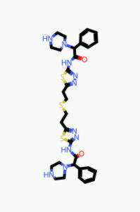 O=C(Nc1nnc(CCSCCc2nnc(NC(=O)C(c3ccccc3)N3CCNCC3)s2)s1)C(c1ccccc1)N1CCNCC1